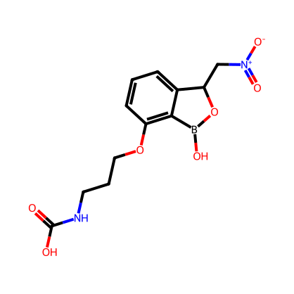 O=C(O)NCCCOc1cccc2c1B(O)OC2C[N+](=O)[O-]